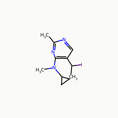 Cc1ncc(C(C)I)c(N(C)C2CC2)n1